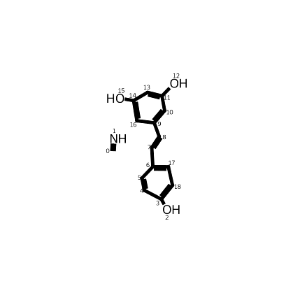 C=N.Oc1ccc(C=Cc2cc(O)cc(O)c2)cc1